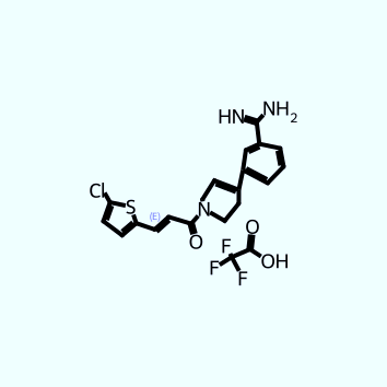 N=C(N)c1cccc(C2=CCN(C(=O)/C=C/c3ccc(Cl)s3)CC2)c1.O=C(O)C(F)(F)F